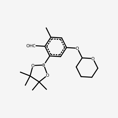 Cc1cc(OC2CCCCO2)cc(B2OC(C)(C)C(C)(C)O2)c1C=O